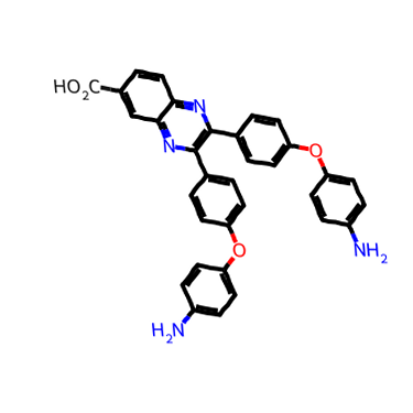 Nc1ccc(Oc2ccc(-c3nc4ccc(C(=O)O)cc4nc3-c3ccc(Oc4ccc(N)cc4)cc3)cc2)cc1